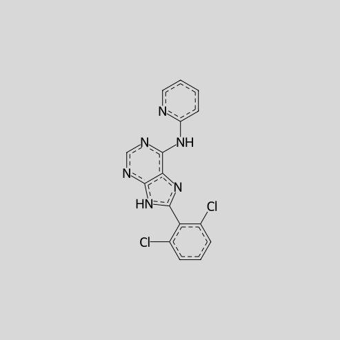 Clc1cccc(Cl)c1-c1nc2c(Nc3ccccn3)ncnc2[nH]1